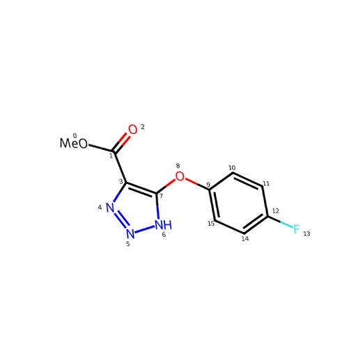 COC(=O)c1nn[nH]c1Oc1ccc(F)cc1